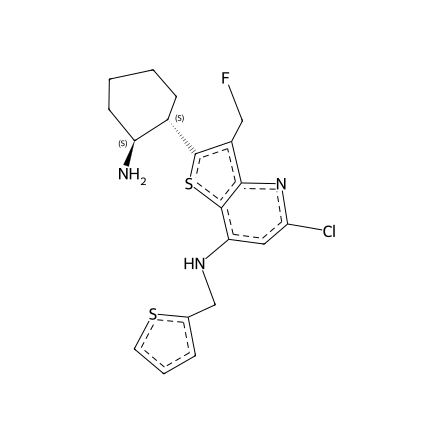 N[C@H]1CCCC[C@@H]1c1sc2c(NCc3cccs3)cc(Cl)nc2c1CF